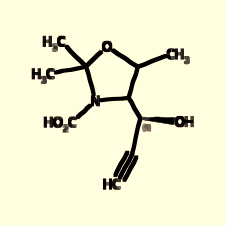 C#C[C@H](O)C1C(C)OC(C)(C)N1C(=O)O